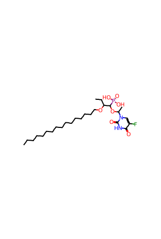 CCCCCCCCCCCCCCCCOC(CC)C(OC(C)n1cc(F)c(=O)[nH]c1=O)P(=O)(O)O